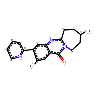 Cc1cc2c(=O)n3c(nc2cc1-c1ccccn1)CCC(C)CC3